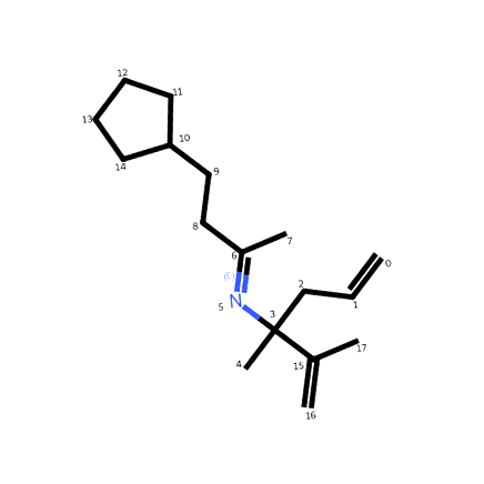 C=CCC(C)(/N=C(\C)CCC1CCCC1)C(=C)C